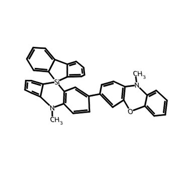 CN1c2ccccc2Oc2cc(-c3ccc4c(c3)[Si]3(c5ccccc5-c5ccccc53)c3ccccc3N4C)ccc21